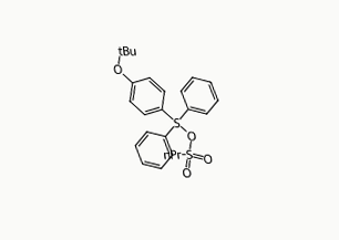 CCCS(=O)(=O)OS(c1ccccc1)(c1ccccc1)c1ccc(OC(C)(C)C)cc1